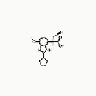 COc1ccc(C(C)(CC#N)C(=O)O)c2[nH]c(C3CCCC3)nc12